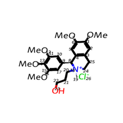 COc1cc2c(cc1OC)[C@H](c1cc(OC)c(OC)c(OC)c1)[N@+](C)(CCCO)CC2.[Cl-]